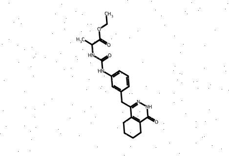 CCOC(=O)C(C)NC(=O)Nc1cccc(Cc2n[nH]c(=O)c3c2CCCC3)c1